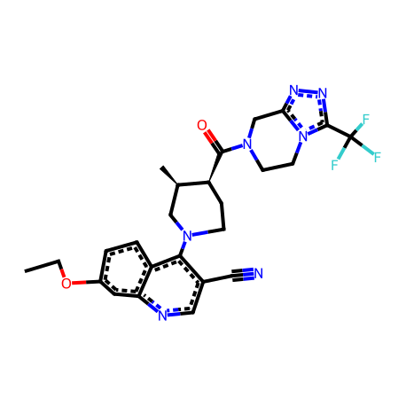 CCOc1ccc2c(N3CC[C@H](C(=O)N4CCn5c(nnc5C(F)(F)F)C4)[C@H](C)C3)c(C#N)cnc2c1